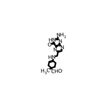 CC1([C]=O)CC=C(NCc2cnc3nc(N)[nH]c(=O)c3n2)CC1